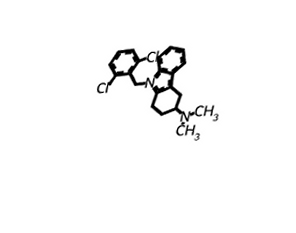 CN(C)C1CCc2c(c3ccccc3n2Cc2c(Cl)cccc2Cl)C1